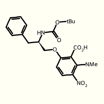 CNc1c([N+](=O)[O-])ccc(OC[C@@H](Cc2ccccc2)NC(=O)OC(C)(C)C)c1C(=O)O